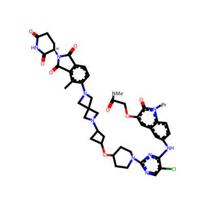 CNC(=O)COc1cc2cc(Nc3nc(N4CCC(OC5CC(N6CC7(CN(c8ccc9c(c8C)C(=O)N([C@@H]8CCC(=O)NC8=O)C9=O)C7)C6)C5)CC4)ncc3Cl)ccc2n(C(C)C)c1=O